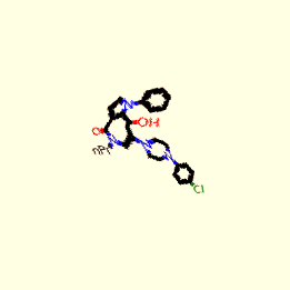 CCCN1CC(N2CCN(c3ccc(Cl)cc3)CC2)C(O)c2c(ccn2-c2ccccc2)C1=O